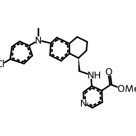 COC(=O)c1ccncc1NC[C@@H]1CCCc2cc(N(C)c3ccc(Cl)cc3)ccc21